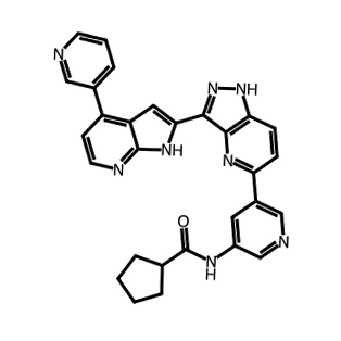 O=C(Nc1cncc(-c2ccc3[nH]nc(-c4cc5c(-c6cccnc6)ccnc5[nH]4)c3n2)c1)C1CCCC1